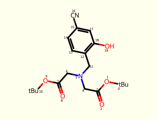 CC(C)(C)OC(=O)CN(CC(=O)OC(C)(C)C)Cc1ccc(C#N)cc1O